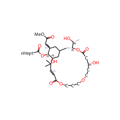 CCCCCCCC(=O)O[C@H]1/C(=C/C(=O)OC)CC2C[C@H]([C@@H](C)O)OC(=O)C[C@H](O)CCOCCCOC(=O)/C=C/C(C)(C)[C@]1(O)C2